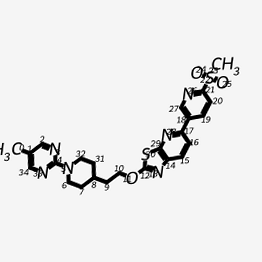 Cc1cnc(N2CCC(CCOc3nc4ccc(-c5ccc(S(C)(=O)=O)nc5)nc4s3)CC2)nc1